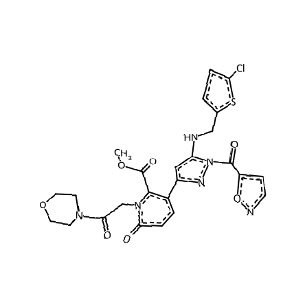 COC(=O)c1c(-c2cc(NCc3ccc(Cl)s3)n(C(=O)c3ccno3)n2)ccc(=O)n1CC(=O)N1CCOCC1